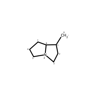 [CH2]C1CCN2CCCC12